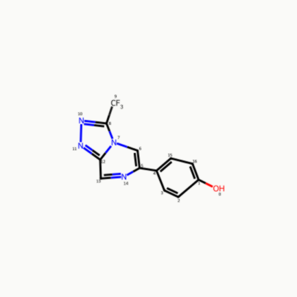 Oc1ccc(-c2cn3c(C(F)(F)F)nnc3cn2)cc1